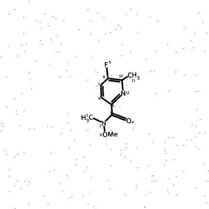 CON(C)C(=O)c1ccc(F)c(C)n1